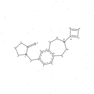 O=C1CCCN1Cc1ccc2c(c1)CCN(C1=CC=C1)CC2